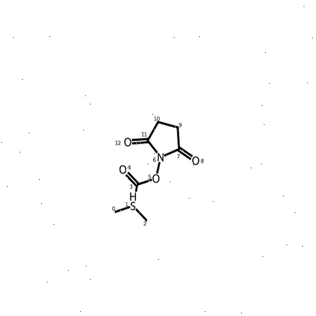 C[SH](C)C(=O)ON1C(=O)CCC1=O